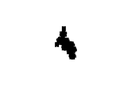 N#Cc1ccc(-n2c3ccc(C#N)c4ccc5c(-c6c7ccccc7c(-c7ccc(-c8ccccc8)c8ccccc78)c7ccccc67)ccc2c5c43)cc1